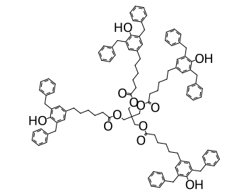 O=C(CCCCCc1cc(Cc2ccccc2)c(O)c(Cc2ccccc2)c1)OCC(COC(=O)CCCCCc1cc(Cc2ccccc2)c(O)c(Cc2ccccc2)c1)(COC(=O)CCCCCc1cc(Cc2ccccc2)c(O)c(Cc2ccccc2)c1)COC(=O)CCCCCc1cc(Cc2ccccc2)c(O)c(Cc2ccccc2)c1